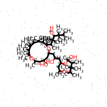 CC(O)CC(CC(O)CC1CC(O)CC(C)OC(C)(C)C(C)C(C)(C)C(C)C(C)(C)C(C)C(C)(C(C)C(C)(C)C(O)C(C)(C)C(C)C)O1)OC(C)(O)C(C)C(C)(C)C(C)C